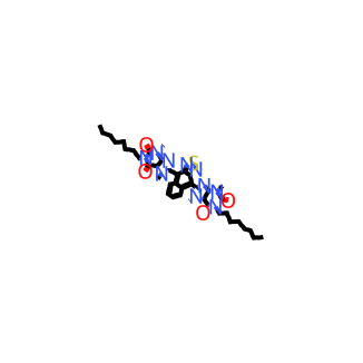 CCCCCCCCN1C(=O)C2C(N=C(c3c4ccccc4c(C4=NC5C(C(=O)N(CCCCCCCC)C(=O)N5C)N4C)c4nsnc34)N2C)N(C)C1=O